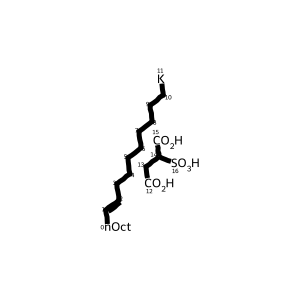 CCCCCCCCC=CCCCCCCC[CH2][K].O=C(O)CC(C(=O)O)S(=O)(=O)O